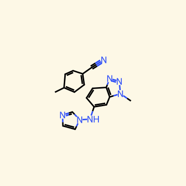 Cc1ccc(C#N)cc1.Cn1nnc2ccc(Nn3ccnc3)cc21